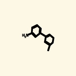 CC1=CC(c2cccc(N)c2)=CCC1